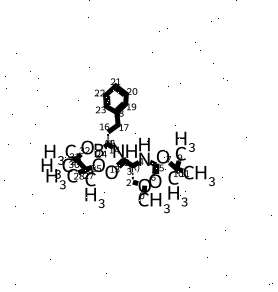 COC[C@@H](NC(=O)OC(C)(C)C)C(=O)N[C@@H](CCc1ccccc1)B1OC(C)(C)C(C)(C)O1